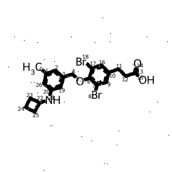 Cc1cc(COc2c(Br)cc(CCC(=O)O)cc2Br)cc(NC2CCC2)c1